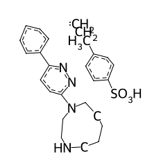 Cc1ccc(S(=O)(=O)O)cc1.[CH2].[CH2].c1ccc(-c2ccc(N3CCCCCNCC3)nn2)cc1